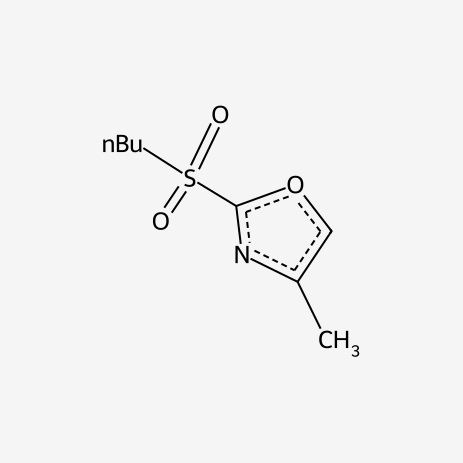 CCCCS(=O)(=O)c1nc(C)co1